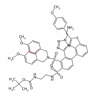 COc1ccc(CN(Cc2ccc(OC)cc2)S(=O)(=O)c2c(S(=O)(=O)NCCNC(=O)OC(C)(C)C)ccc(-c3cccc4sc(CN)nc34)c2-c2nnn(Cc3ccc(OC)cc3)n2)cc1